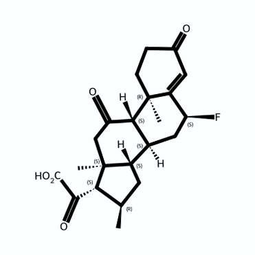 C[C@@H]1C[C@H]2[C@@H]3C[C@H](F)C4=CC(=O)CC[C@]4(C)[C@H]3C(=O)C[C@]2(C)[C@H]1C(=O)C(=O)O